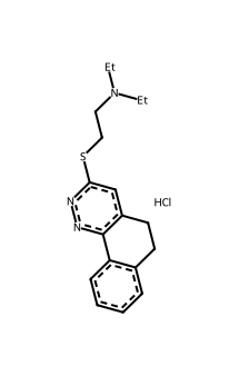 CCN(CC)CCSc1cc2c(nn1)-c1ccccc1CC2.Cl